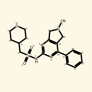 N#CN1Cc2nc(NS(=O)(=O)CC3CCOCC3)nc(-c3ccccc3)c2C1